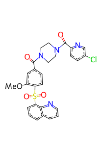 COc1cc(C(=O)N2CCN(C(=O)c3ccc(Cl)cn3)CC2)ccc1S(=O)(=O)c1cccc2cccnc12